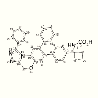 O=C(O)NC1(c2ccc(-c3nc4c(cc3-c3ccccc3)-n3c(nnc3-c3ccccn3)CO4)cc2)CCC1